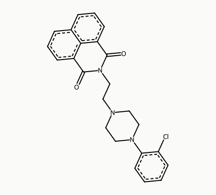 O=C1c2cccc3cccc(c23)C(=O)N1CCN1CCN(c2ccccc2Cl)CC1